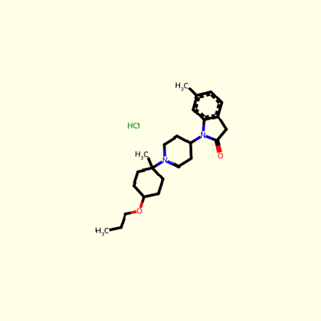 CCCOC1CCC(C)(N2CCC(N3C(=O)Cc4ccc(C)cc43)CC2)CC1.Cl